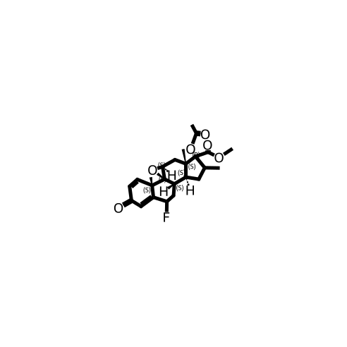 COC(=O)[C@@]1(OC(C)=O)C(C)C[C@H]2[C@@H]3CC(F)C4=CC(=O)C=C[C@]4(C)[C@@]34O[C@H]4C[C@@]21C